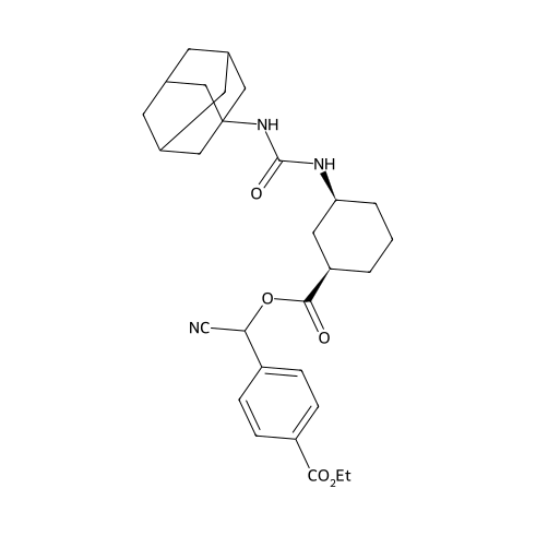 CCOC(=O)c1ccc(C(C#N)OC(=O)[C@@H]2CCC[C@H](NC(=O)NC34CC5CC(CC(C5)C3)C4)C2)cc1